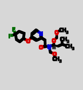 COCO[C@H](CC(C)C)N(COC)C(=O)Cc1cc(OC2CCC(F)(F)CC2)ccn1